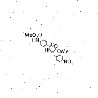 COC(=O)Nc1ccc(C(=O)N[C@@H](Cc2ccc([N+](=O)[O-])cc2)C(=O)OC)cc1